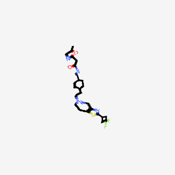 Cc1cnc(CC(=O)/N=C/C2CCC(CCN3CCc4sc(C5CC(F)(F)C5)nc4C3)CC2)o1